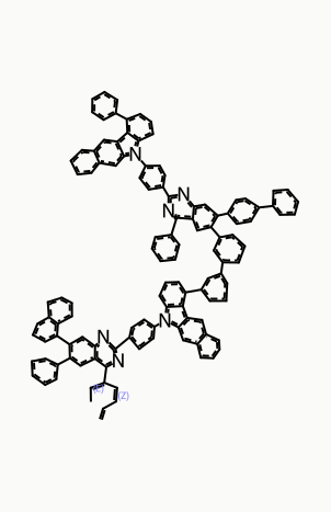 C=C/C=C\C(=C/C)c1nc(-c2ccc(-n3c4cc5ccccc5cc4c4c(-c5cccc(-c6cccc(-c7cc8c(-c9ccccc9)nc(-c9ccc(-n%10c%11cc%12ccccc%12cc%11c%11c(-c%12ccccc%12)cccc%11%10)cc9)nc8cc7-c7ccc(-c8ccccc8)cc7)c6)c5)cccc43)cc2)nc2cc(-c3cccc4ccccc34)c(-c3ccccc3)cc12